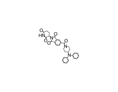 O=C1CCC(N2C(=O)c3ccc(C(=O)N4CCC(N(c5ccccc5)c5ccccc5)CC4)cc3C2=O)C(=O)N1